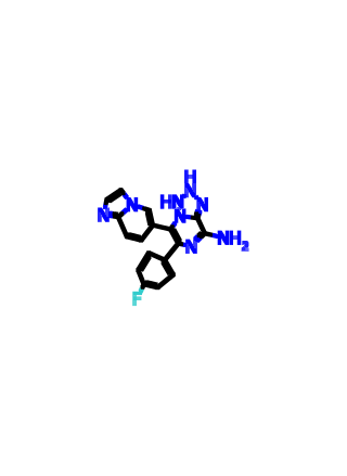 NC1=NC(c2ccc(F)cc2)=C(c2ccc3nccn3c2)N2NNN=C12